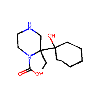 CCC1(C2(O)CCCCC2)CNCCN1C(=O)O